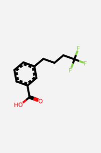 O=C(O)c1cccc(CCCC(F)(F)F)c1